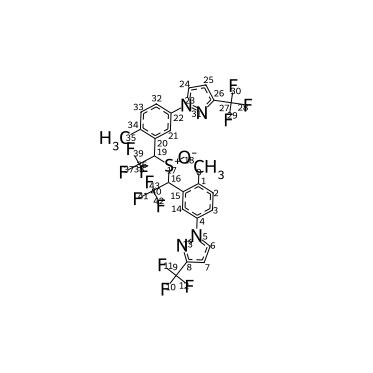 Cc1ccc(-n2ccc(C(F)(F)F)n2)cc1C([S+]([O-])C(c1cc(-n2ccc(C(F)(F)F)n2)ccc1C)C(F)(F)F)C(F)(F)F